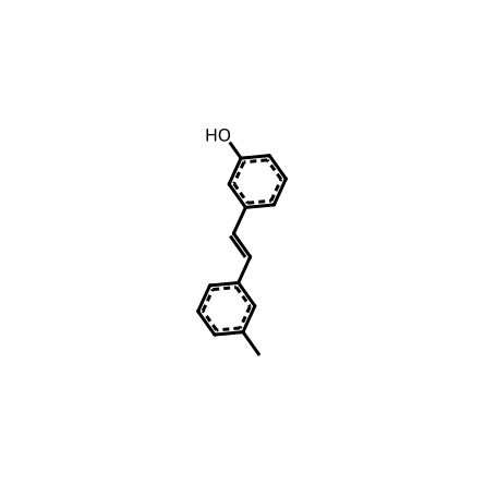 Cc1cccc(/C=C/c2cccc(O)c2)c1